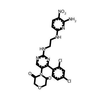 Nc1nc(NCCNc2ncc(N3C(=O)COCC3=O)c(-c3ccc(Cl)cc3Cl)n2)ccc1[N+](=O)[O-]